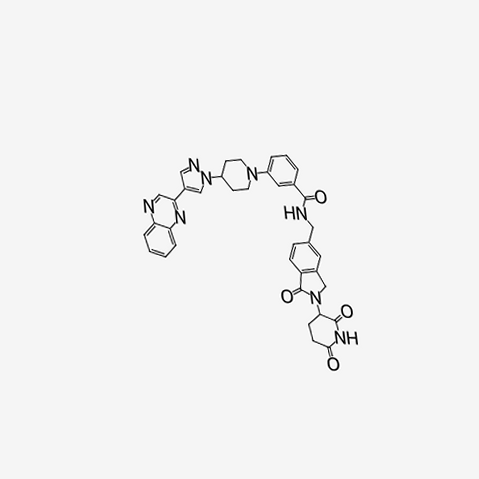 O=C1CCC(N2Cc3cc(CNC(=O)c4cccc(N5CCC(n6cc(-c7cnc8ccccc8n7)cn6)CC5)c4)ccc3C2=O)C(=O)N1